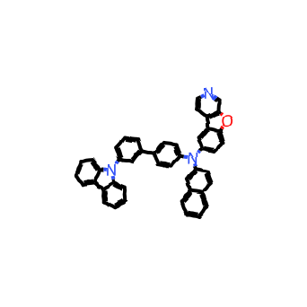 c1cc(-c2ccc(N(c3ccc4ccccc4c3)c3ccc4oc5cnccc5c4c3)cc2)cc(-n2c3ccccc3c3ccccc32)c1